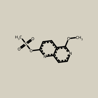 COc1nccc2nc(OS(C)(=O)=O)ccc12